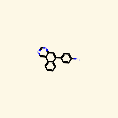 Nc1ccc(-c2cc3ncncc3c3ccccc23)cc1